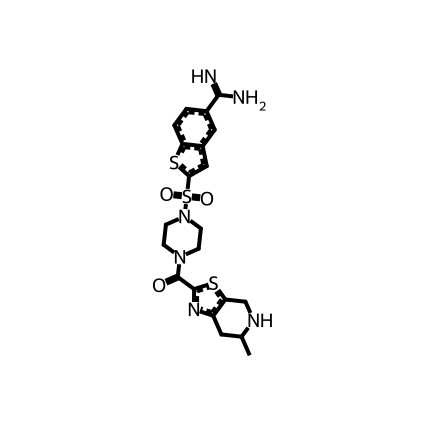 CC1Cc2nc(C(=O)N3CCN(S(=O)(=O)c4cc5cc(C(=N)N)ccc5s4)CC3)sc2CN1